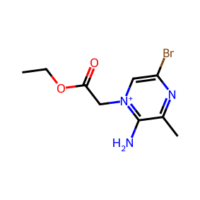 CCOC(=O)C[n+]1cc(Br)nc(C)c1N